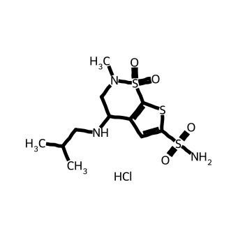 CC(C)CNC1CN(C)S(=O)(=O)c2sc(S(N)(=O)=O)cc21.Cl